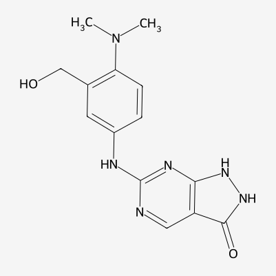 CN(C)c1ccc(Nc2ncc3c(=O)[nH][nH]c3n2)cc1CO